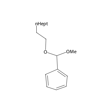 CCCCCCCCCOC(OC)c1ccccc1